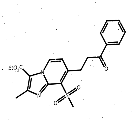 CCOC(=O)c1c(C)nc2c(S(C)(=O)=O)c(CCC(=O)c3ccccc3)ccn12